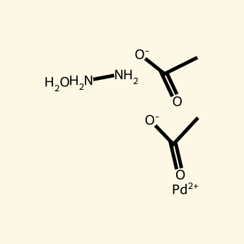 CC(=O)[O-].CC(=O)[O-].NN.O.[Pd+2]